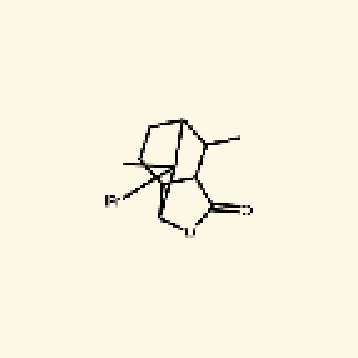 CC1C2C(=O)OC3C2CCC1C3(C)C(C)C